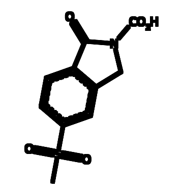 CS(=O)(=O)c1ccc2c(c1)CN(C(=O)O)C2=O